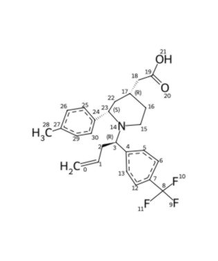 C=CC[C@H](c1ccc(C(F)(F)F)cc1)N1CC[C@@H](CC(=O)O)C[C@H]1c1ccc(C)cc1